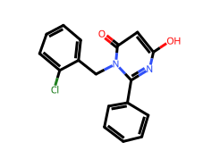 O=c1cc(O)nc(-c2ccccc2)n1Cc1ccccc1Cl